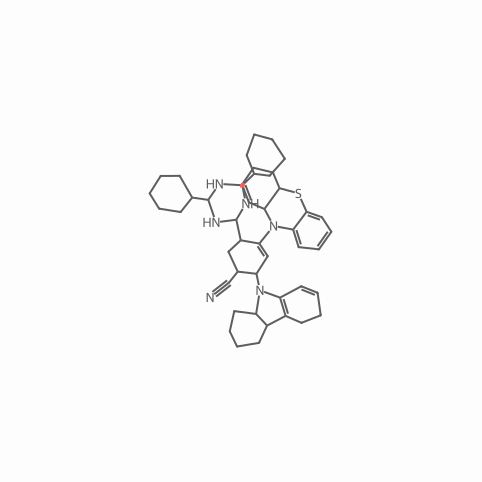 N#CC1CC(C2NC(C3CCCCC3)NC(C3CCCCC3)N2)C(N2c3ccccc3SC3CCC=CC32)=CC1N1C2=C(CCC=C2)C2CCCCC21